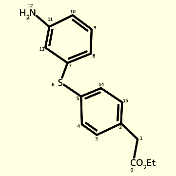 CCOC(=O)Cc1ccc(Sc2cccc(N)c2)cc1